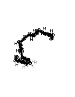 CC(COC(=O)Nc1cccc(Cc2cccc(NC(=O)OCCCCOC(=O)Nc3cccc(Cc4cccc(NC(=O)OCCOCCOC(=O)CCCCC(=O)OC(=O)Nc5cccc(Cc6cccc(NC(=O)OCCOC(=O)Nc7cccc(Cc8cccc(NC(=O)OCC9CO9)c8)c7)c6)c5)c4)c3)c2)c1)(OC(=O)Nc1cccc(Cc2cccc(NC(=O)OCC3CO3)c2)c1)C(=O)O